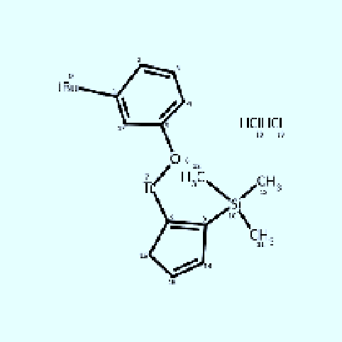 CC(C)(C)c1cccc([O][Ti][C]2=C([Si](C)(C)C)C=CC2)c1.Cl.Cl